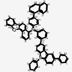 c1ccc(-c2ccc3c(c2)c2cc(-c4cccc(N(c5ccc(-c6cccc7ccccc67)cc5)c5cccc6c5ccc5c7ccccc7oc65)c4)ccc2n3-c2ccccc2)cc1